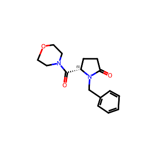 O=C([C@@H]1CCC(=O)N1Cc1ccccc1)N1CCOCC1